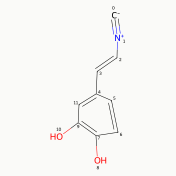 [C-]#[N+]/C=C/c1ccc(O)c(O)c1